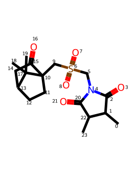 CC1C(=O)N(CS(=O)(=O)CC23CCC(CC2=O)C3(C)C)C(=O)C1C